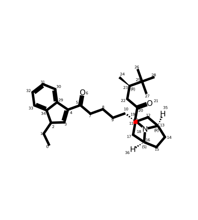 CCC1C=C(C(=O)CCCC[C@@H]2C[C@H]3CC[C@@H](C2)N3CC(=O)C[C@@H](C)C(C)(C)C)c2ccccc21